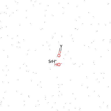 [OH-].[O]=[Y].[SrH+]